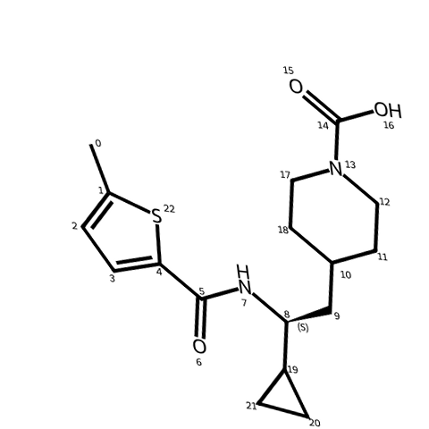 Cc1ccc(C(=O)N[C@@H](CC2CCN(C(=O)O)CC2)C2CC2)s1